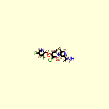 C=C(NC)c1cc(-n2c(C)cc(OCc3ncc(F)cc3F)c(Cl)c2=O)c(C)cn1